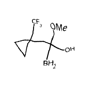 BC(O)(OC)C1(C(F)(F)F)CC1